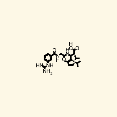 CC1=C(C(CC(=O)O)NC(=O)CNC(=O)c2cccc(NC(=N)N)c2)S(C(C)C)(C(C)C)C=C1